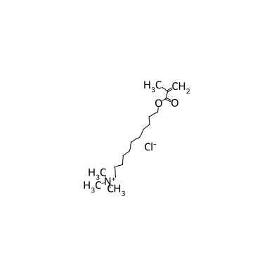 C=C(C)C(=O)OCCCCCCCCCCC[N+](C)(C)C.[Cl-]